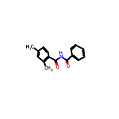 Cc1ccc(C(=O)NC(=O)c2ccccc2)c(C)c1